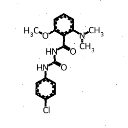 COc1cccc(N(C)C)c1C(=O)NC(=O)Nc1ccc(Cl)cc1